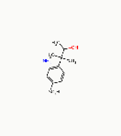 CC(O)C(C)(C)c1ccc(S(=O)(=O)O)cc1.N